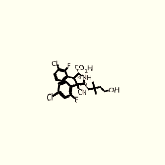 CC(C)(CCO)C[C@@H]1N[C@@H](C(=O)O)C(c2cccc(Cl)c2F)C1(C#N)c1ccc(Cl)cc1F